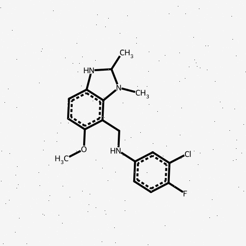 COc1ccc2c(c1CNc1ccc(F)c(Cl)c1)N(C)C(C)N2